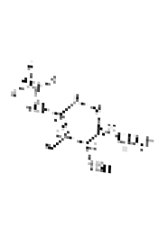 CC1=C(O[Si](C)(C)C)CCN(C(=O)O)C1C(C)(C)C